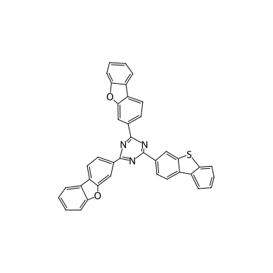 c1ccc2c(c1)oc1cc(-c3nc(-c4ccc5c(c4)oc4ccccc45)nc(-c4ccc5c(c4)sc4ccccc45)n3)ccc12